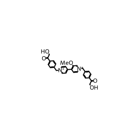 COc1c[n+](Cc2ccc(C(=O)CO)cc2)ccc1-c1cc[n+](Cc2ccc(C(=O)CO)cc2)cc1